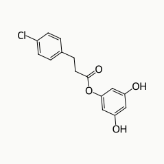 O=C(CCc1ccc(Cl)cc1)Oc1cc(O)cc(O)c1